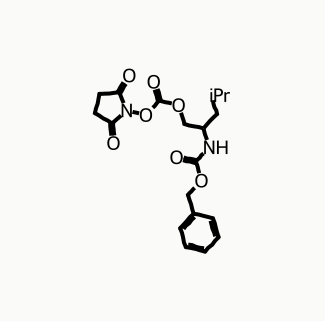 CC(C)CC(COC(=O)ON1C(=O)CCC1=O)NC(=O)OCc1ccccc1